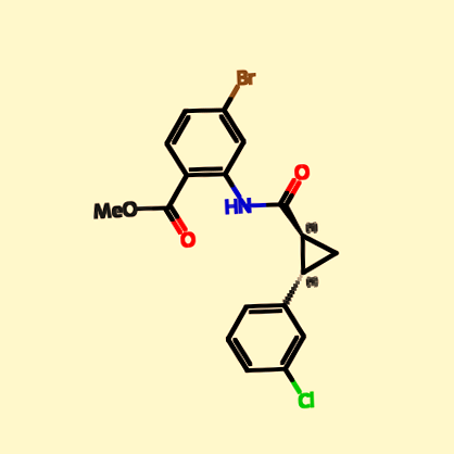 COC(=O)c1ccc(Br)cc1NC(=O)[C@H]1C[C@@H]1c1cccc(Cl)c1